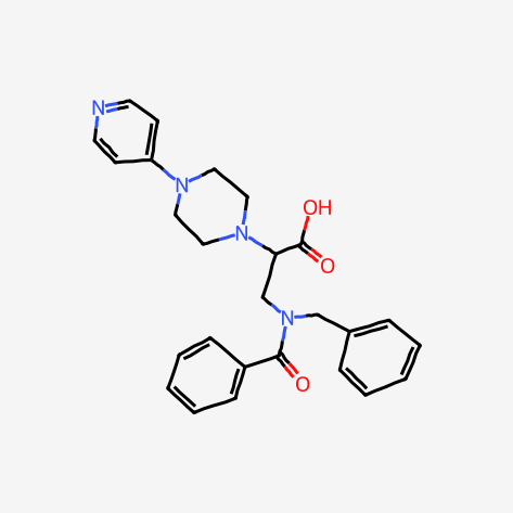 O=C(O)C(CN(Cc1ccccc1)C(=O)c1ccccc1)N1CCN(c2ccncc2)CC1